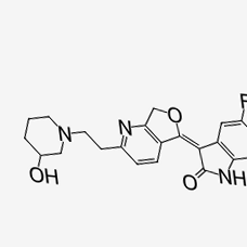 O=C1Nc2ccc(F)cc2/C1=C1\OCc2nc(CCN3CCCC(O)C3)ccc21